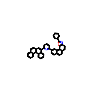 c1ccc(-c2nc3ccc4ccc5ccc(-c6cccc(-c7cc8ccc9ccccc9c8c8ccccc78)n6)cc5c4c3o2)cc1